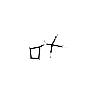 FC(F)(F)OC1[CH]CC1